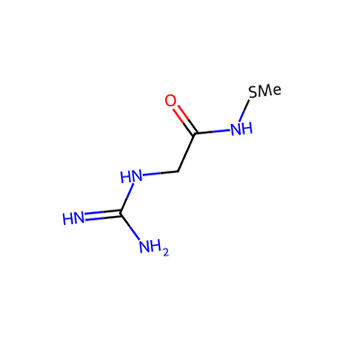 CSNC(=O)CNC(=N)N